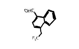 O=Cc1ccc(CC(F)(F)F)c2ccccc12